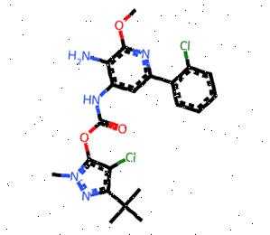 COc1nc(-c2ccccc2Cl)cc(NC(=O)Oc2c(Cl)c(C(C)(C)C)nn2C)c1N